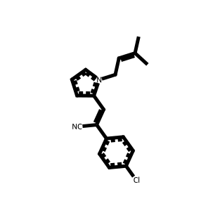 CC(C)=CCn1cccc1/C=C(\C#N)c1ccc(Cl)cc1